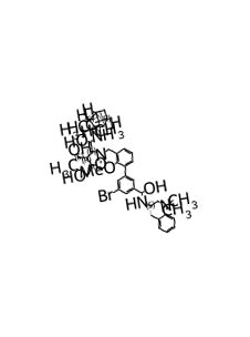 COc1c(CN2O[C@@H](CO)[C@@H]([C@H](C)O)[C@H]2C(O)N[C@H]2C[C@H]3C[C@@H]([C@@H]2C)C3(C)C)cccc1-c1cc(Br)cc(C(O)N[C@@H](Cc2ccccc2)CN(C)C)c1